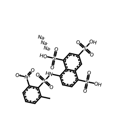 Cc1cccc([N+](=O)[O-])c1S(=O)(=O)Nc1ccc(S(=O)(=O)O)c2cc(S(=O)(=O)O)cc(S(=O)(=O)O)c12.[Na].[Na].[Na]